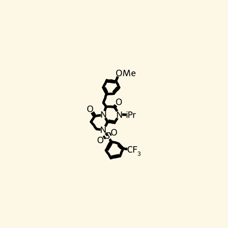 COc1ccc(CC2C(=O)N(C(C)C)C=C3N2C(=O)CCN3S(=O)(=O)c2cccc(C(F)(F)F)c2)cc1